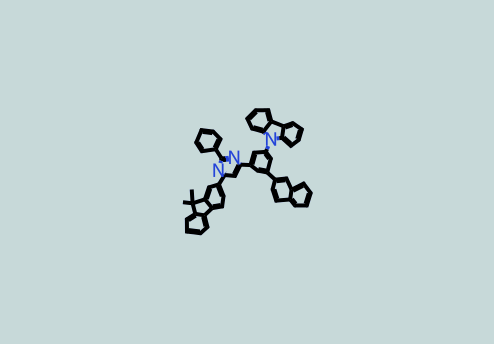 CC1(C)c2ccccc2-c2ccc(-c3cc(-c4cc(-c5ccc6ccccc6c5)cc(-n5c6ccccc6c6ccccc65)c4)nc(-c4ccccc4)n3)cc21